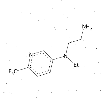 CCN(CCN)c1ccc(C(F)(F)F)nc1